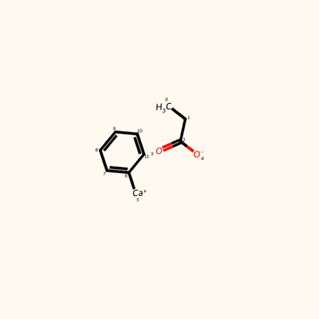 CCC(=O)[O-].[Ca+][c]1ccccc1